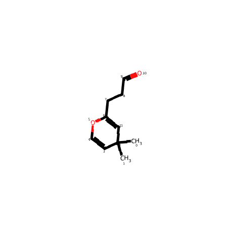 CC1(C)C=COC(CCC=O)=C1